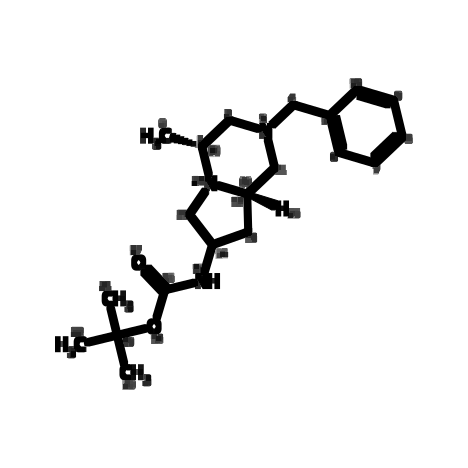 C[C@@H]1CN(Cc2ccccc2)C[C@@H]2CC(NC(=O)OC(C)(C)C)CN21